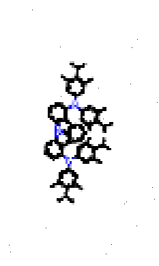 Cc1cc(N(c2cc(C)c(C(C)C)c(C)c2)c2cccc3c2c2cccc4c5c(N(c6cc(C)c(C(C)C)c(C)c6)c6cc(C)c(C(C)C)c(C)c6)cccc5n3c24)cc(C)c1C(C)C